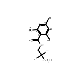 O=C(OCC(F)(F)S(=O)(=O)O)c1c(O)cc(I)cc1I